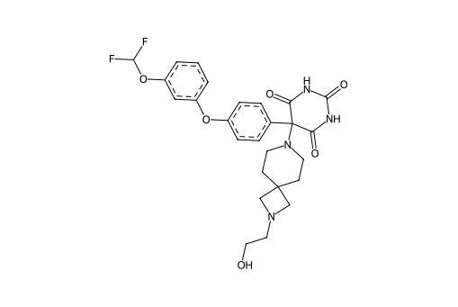 O=C1NC(=O)C(c2ccc(Oc3cccc(OC(F)F)c3)cc2)(N2CCC3(CC2)CN(CCO)C3)C(=O)N1